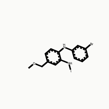 COCc1ccc(Nc2cccc(Br)c2)c(NI)c1